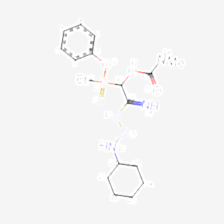 CCP(=S)(Oc1ccccc1)C(OC(=O)NC)C(=N)SSNC1CCCCC1